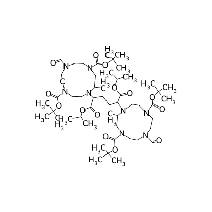 CC(C)OC(=O)C(CCC(C(=O)OC(C)C)N1CCN(C(=O)OC(C)(C)C)CCN(C=O)CCN(C(=O)OC(C)(C)C)CC1C)N1CCN(C(=O)OC(C)(C)C)CCN(C=O)CCN(C(=O)OC(C)(C)C)CC1C